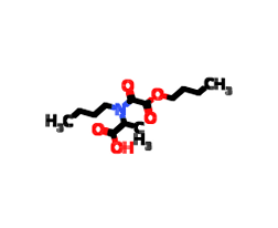 CCCCOC(=O)C(=O)N(CCCC)C(C)C(=O)O